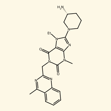 CCn1c(N2CCC[C@@H](N)C2)nc2c1c(=O)n(Cc1nc(C)c3ccccc3n1)c(=O)n2C